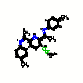 CC(=Nc1ccc(C)cc1)c1cccc(C(C)=Nc2ccc(C)cc2)n1.[Cl-].[Cl-].[Fe+2]